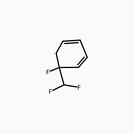 FC(F)C1(F)[CH]C=CC=C1